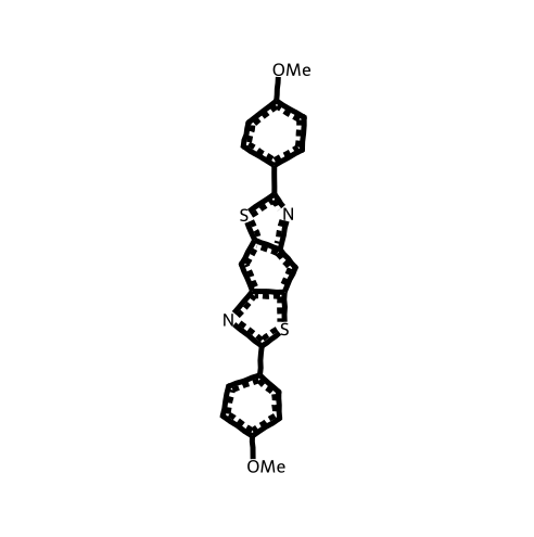 COc1ccc(-c2nc3cc4sc(-c5ccc(OC)cc5)nc4cc3s2)cc1